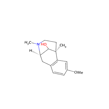 COc1ccc2c(c1)[C@]1(C)CCN(C)[C@H](C2)C1O